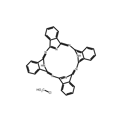 O=C(O)Cl.c1ccc2c(c1)-c1nc-2nc2[nH]c(nc3nc(nc4[nH]c(n1)c1ccccc41)-c1ccccc1-3)c1ccccc21